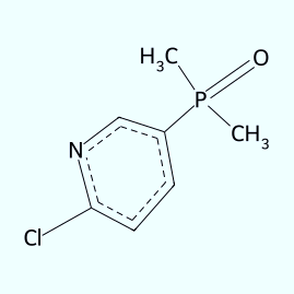 CP(C)(=O)c1ccc(Cl)nc1